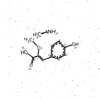 CN.COC(=Cc1ccc(O)cc1)C(=O)O